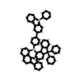 c1ccc(-n2c3ccccc3c3cc(-c4ccc(N(c5cccc6c5-c5ccccc5C6(c5ccccc5)c5ccccc5)c5cccc6ccc7c8ccccc8oc7c56)cc4)ccc32)cc1